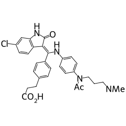 CNCCCN(C(C)=O)c1ccc(N/C(=C2\C(=O)Nc3cc(Cl)ccc32)c2ccc(CCC(=O)O)cc2)cc1